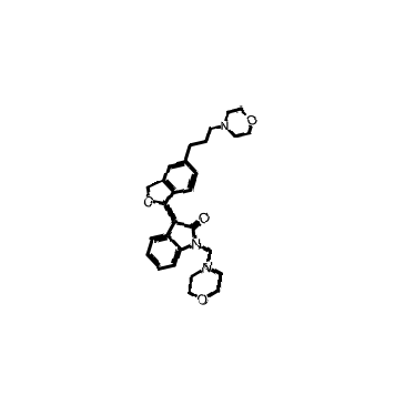 O=C1/C(=C2/OCc3cc(CCCN4CCOCC4)ccc32)c2ccccc2N1CN1CCOCC1